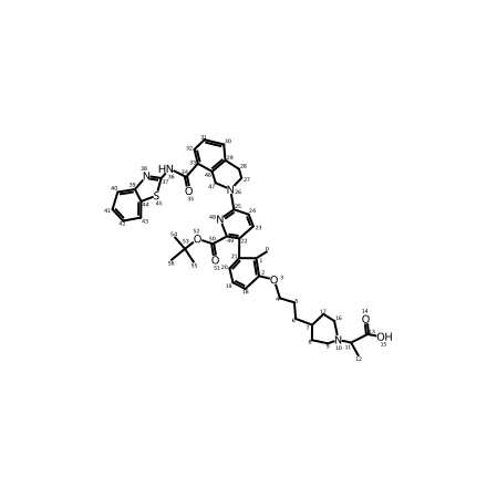 Cc1c(OCCCC2CCN(C(C)C(=O)O)CC2)cccc1-c1ccc(N2CCc3cccc(C(=O)Nc4nc5ccccc5s4)c3C2)nc1C(=O)OC(C)(C)C